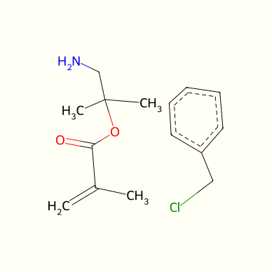 C=C(C)C(=O)OC(C)(C)CN.ClCc1ccccc1